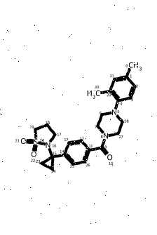 Cc1ccc(N2CCN(C(=O)c3ccc(C4(N5CCCS5(=O)=O)CC4)cc3)CC2)c(C)c1